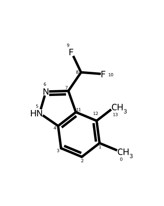 Cc1ccc2[nH]nc(C(F)F)c2c1C